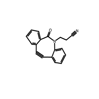 N#CCCN1C(=O)c2ccccc2C#Cc2ccccc21